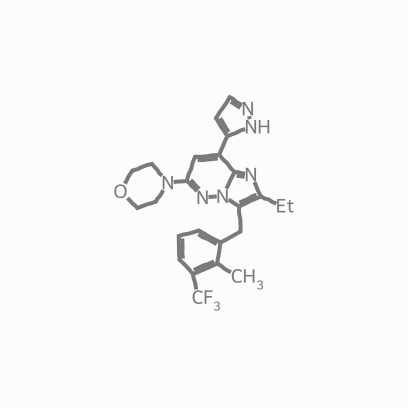 CCc1nc2c(-c3ccn[nH]3)cc(N3CCOCC3)nn2c1Cc1cccc(C(F)(F)F)c1C